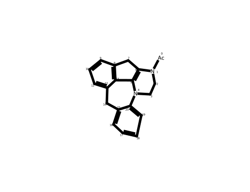 CC(=O)N1CCN2C3=C1Cc1cccc(c13)Cc1ccccc12